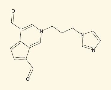 O=Cc1cn(CCCn2ccnc2)cc2c(C=O)ccc1-2